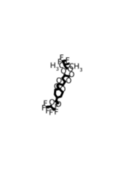 CCC(C)(C(=O)OC1C(=O)OC2C3OC4(CCC(C(=O)OC(C(F)(F)F)C(F)(F)F)CC4)OC3OC12)C(F)(F)F